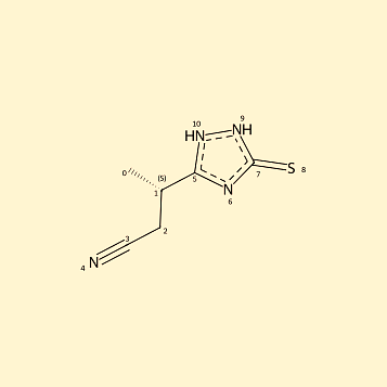 C[C@@H](CC#N)c1nc(=S)[nH][nH]1